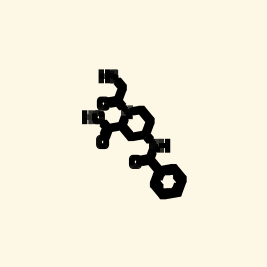 O=C(NC1CCN(C(=O)CS)C(C(=O)O)C1)c1ccccc1